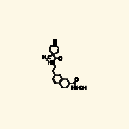 CC1(C(=O)NCCc2ccc3c(c2)CC(C(=O)NO)CC3)CCNCC1